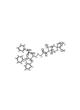 C=CC1(C(=O)O)CS[C@@H]2C(NC(=O)CCCC(NC(=O)Nc3ccccc3)C(=O)OC(c3ccccc3)c3ccccc3)C(=O)N2C1